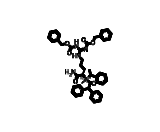 CC(c1ccccc1)[N@@+](C)(C(=O)C(c1ccccc1)c1ccccc1)[C@H](CCCNC(=NC(=O)OCc1ccccc1)NC(=O)OCc1ccccc1)C(N)=O